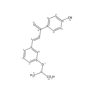 CC(Oc1cccc(/C=C/C(=O)c2ccc(C#N)cc2)c1)C(=O)O